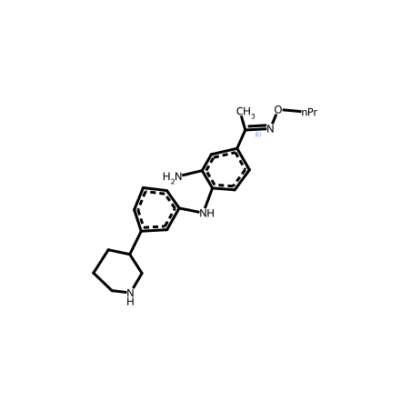 CCCO/N=C(\C)c1ccc(Nc2cccc(C3CCCNC3)c2)c(N)c1